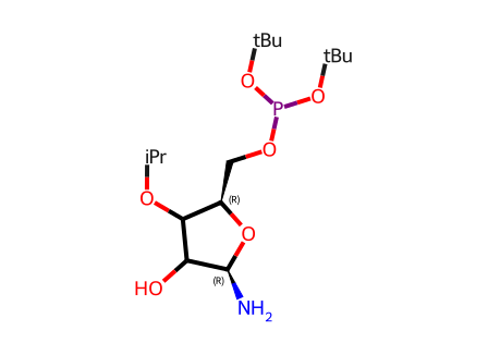 CC(C)OC1C(O)[C@H](N)O[C@@H]1COP(OC(C)(C)C)OC(C)(C)C